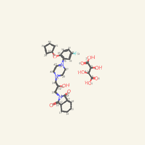 O=C(O)C(O)C(O)C(=O)O.O=C1C2CCCCC2C(=O)N1CC(O)CN1CCN(c2cc(F)ccc2OC2CCCC2)CC1